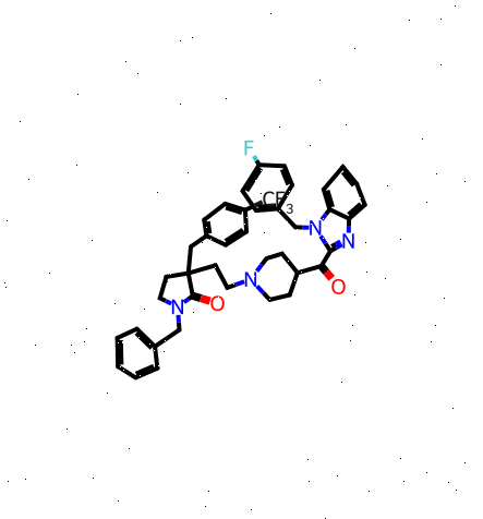 O=C(c1nc2ccccc2n1Cc1ccc(F)cc1)C1CCN(CCC2(Cc3ccc(C(F)(F)F)cc3)CCN(Cc3ccccc3)C2=O)CC1